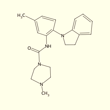 Cc1ccc(N2CCc3ccccc32)c(NC(=O)N2CCN(C)CC2)c1